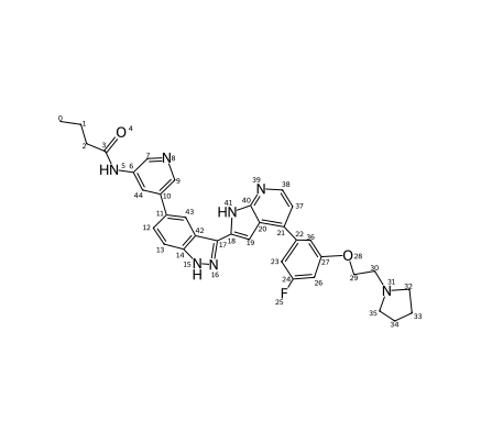 CCCC(=O)Nc1cncc(-c2ccc3[nH]nc(-c4cc5c(-c6cc(F)cc(OCCN7CCCC7)c6)ccnc5[nH]4)c3c2)c1